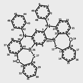 c1ccc(N2c3cc4c(cc3B3Sc5ccccc5Oc5cccc2c53)B2Sc3ccccc3Oc3cccc(c32)N4c2ccccc2)cc1